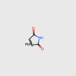 O=C1C=CC(=O)N1.[PbH2]